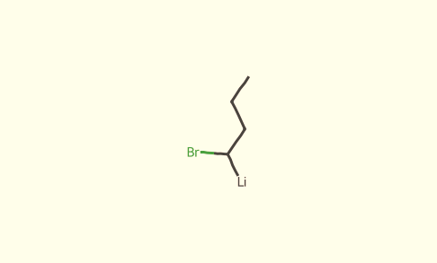 [Li][CH](Br)CCC